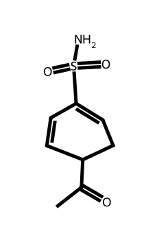 CC(=O)C1C=CC(S(N)(=O)=O)=CC1